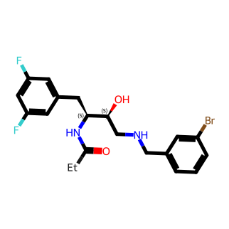 CCC(=O)N[C@@H](Cc1cc(F)cc(F)c1)[C@@H](O)CNCc1cccc(Br)c1